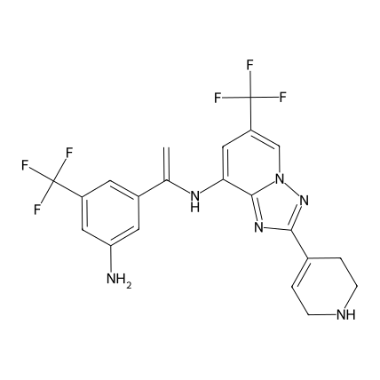 C=C(Nc1cc(C(F)(F)F)cn2nc(C3=CCNCC3)nc12)c1cc(N)cc(C(F)(F)F)c1